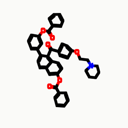 O=C(Oc1cccc(-c2ccc3cc(OC(=O)c4ccccc4)ccc3c2C(=O)c2ccc(OCCN3CCCCC3)cc2)c1)c1ccccc1